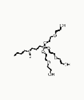 CCCCS(=S)CCC[Si](OCCOCCO)(OCCOCCO)OCCOCCO